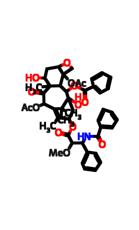 COC(C(=O)OC1CC2(O)C(OC(=O)c3ccccc3)C3C4(OC(C)=O)COC4CC(O)C3(C)C(=O)C(OC(C)=O)C(=C1C)C2(C)C)C(NC(=O)c1ccccc1)c1ccccc1